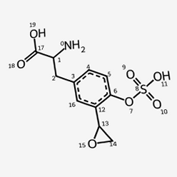 NC(Cc1ccc(OS(=O)(=O)O)c(C2CO2)c1)C(=O)O